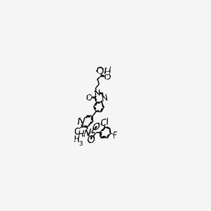 Cc1ncc(-c2ccc3ncn(CCCC(=O)O)c(=O)c3c2)cc1NS(=O)(=O)c1ccc(F)cc1Cl